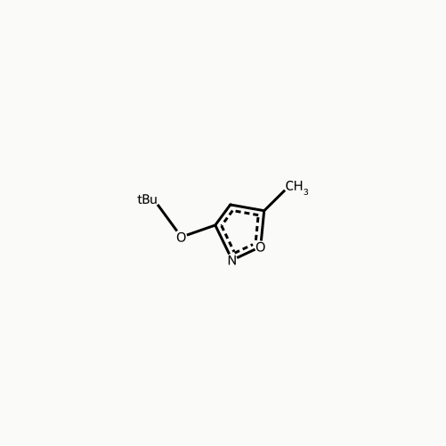 Cc1cc(OC(C)(C)C)no1